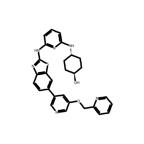 O[C@H]1CC[C@H](Nc2cccc(Nc3nc4ccc(-c5cncc(OCc6ccccn6)c5)cc4s3)n2)CC1